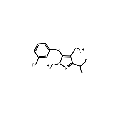 CC(C)c1cccc(Oc2c(C(=O)O)c(C(F)F)nn2C)c1